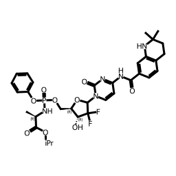 CC(C)OC(=O)[C@@H](C)NP(=O)(OC[C@H]1OC(n2ccc(NC(=O)c3ccc4c(c3)NC(C)(C)CC4)nc2=O)C(F)(F)[C@@H]1O)Oc1ccccc1